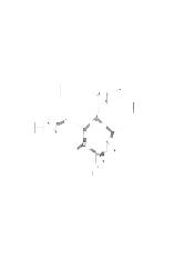 CN1CCOc2nn(C)c(=O)c(C=N)c21